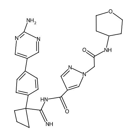 N=C(NC(=O)c1cnn(CC(=O)NC2CCOCC2)c1)C1(c2ccc(-c3cnc(N)nc3)cc2)CCC1